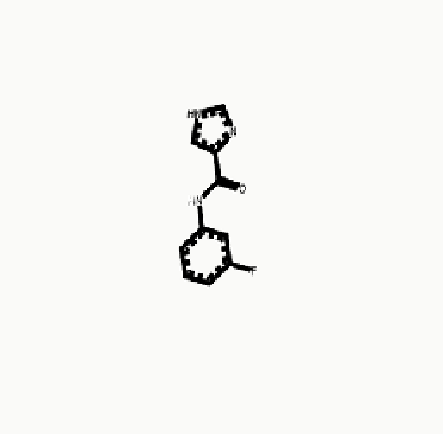 O=C(Nc1cccc(F)c1)c1c[nH]cn1